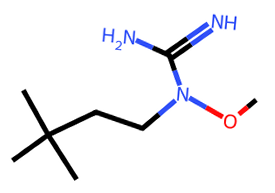 CON(CCC(C)(C)C)C(=N)N